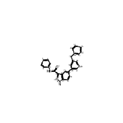 O=C(Nc1ccccc1)c1n[nH]c2ccc(-c3cncc(Cc4ccccc4)c3)cc12